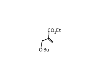 [CH2]C([CH2])COCC(=C)C(=O)OCC